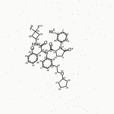 N#Cc1ccnc(N2C(=O)CC[C@H]2C(=O)N(c2cccc(CCOC3CCCC3)c2)[C@H](C(=O)NC2CC(F)(F)C2)c2ccccc2Cl)c1